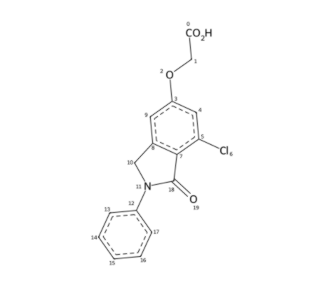 O=C(O)COc1cc(Cl)c2c(c1)CN(c1ccccc1)C2=O